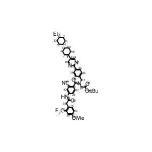 CC[C@H]1CC[C@H](C2CC=C(c3cnc(-c4ccc(CN(CC(=O)OC(C)(C)C)C(=O)c5ccc(NC(=O)Cc6ccc(OC)cc6C(F)(F)F)cc5C#N)cc4)nc3)CC2)CC1